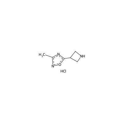 Cc1noc(C2CNC2)n1.Cl